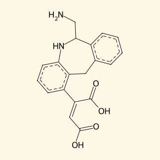 NCC1Nc2cccc(C(=CC(=O)O)C(=O)O)c2Cc2ccccc21